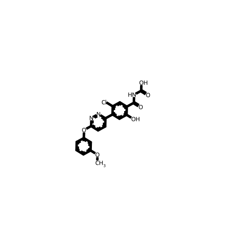 COc1cccc(Oc2ccc(-c3cc(O)c(C(=O)NC(=O)O)cc3Cl)nn2)c1